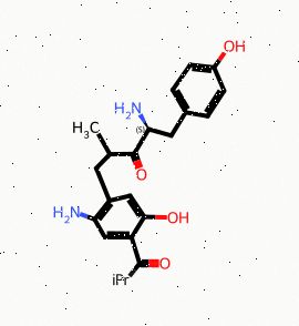 CC(C)C(=O)c1cc(N)c(CC(C)C(=O)[C@@H](N)Cc2ccc(O)cc2)cc1O